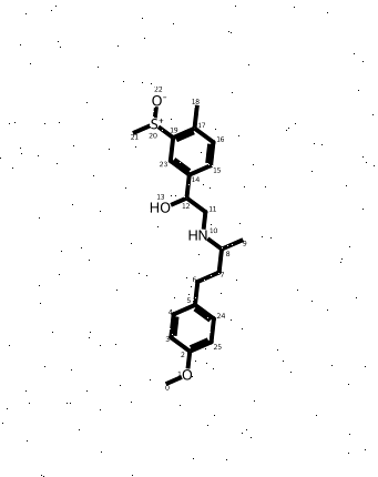 COc1ccc(CCC(C)NCC(O)c2ccc(C)c([S+](C)[O-])c2)cc1